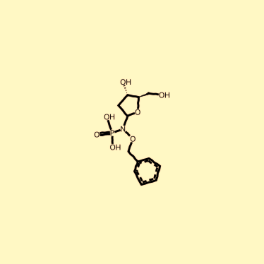 O=P(O)(O)N(OCc1ccccc1)C1C[C@H](O)[C@@H](CO)O1